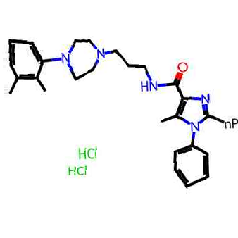 CCCc1nc(C(=O)NCCCN2CCN(c3cccc(C)c3C)CC2)c(C)n1-c1ccccc1.Cl.Cl